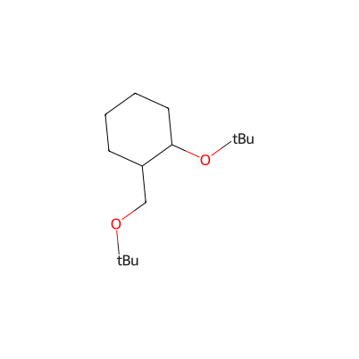 CC(C)(C)OCC1CCCCC1OC(C)(C)C